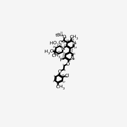 Cc1ccc(OCCOc2ncc(-c3cnc(C)c([C@H](OC(C)(C)C)C(=O)O)c3N3CCC(C)(C)CC3)cc2F)c(Cl)c1